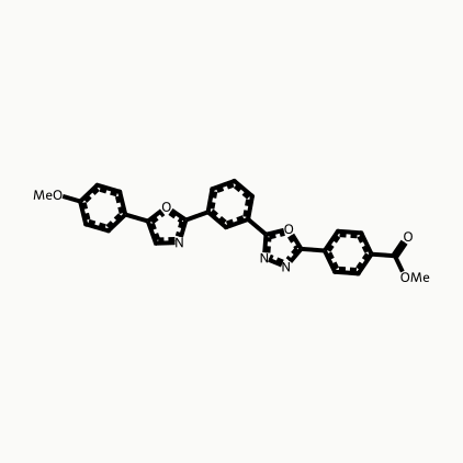 COC(=O)c1ccc(-c2nnc(-c3cccc(-c4ncc(-c5ccc(OC)cc5)o4)c3)o2)cc1